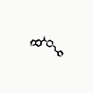 O=C(c1ccc2[nH]ccc2c1)N1CCN(CCc2ccsc2)CC1